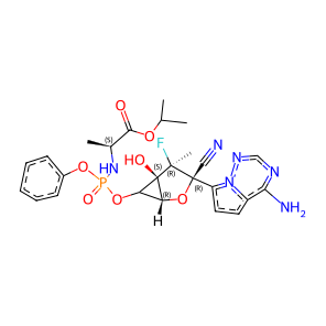 CC(C)OC(=O)[C@H](C)NP(=O)(Oc1ccccc1)OC1[C@H]2O[C@@](C#N)(c3ccc4c(N)ncnn34)[C@](C)(F)[C@@]12O